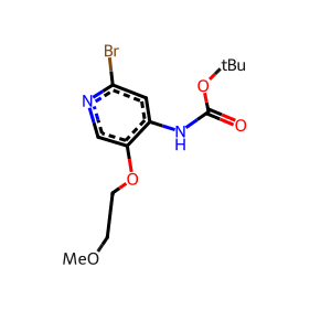 COCCOc1cnc(Br)cc1NC(=O)OC(C)(C)C